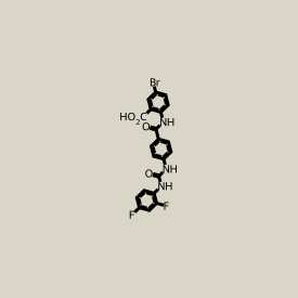 O=C(Nc1ccc(C(=O)Nc2ccc(Br)cc2C(=O)O)cc1)Nc1ccc(F)cc1F